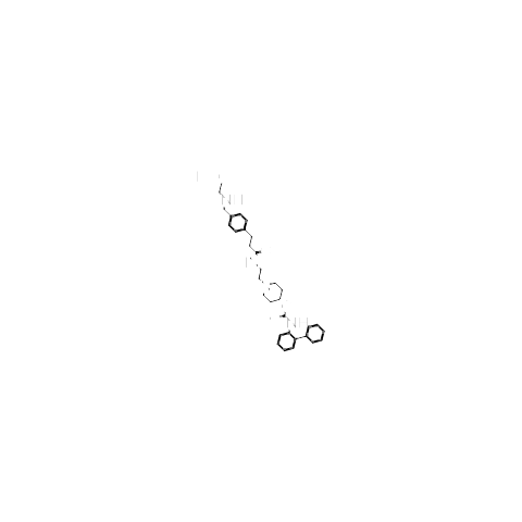 O=C(CCc1ccc(CNCCO)cc1)NCCN1CCC(OC(=O)Nc2ccccc2-c2ccccc2)CC1